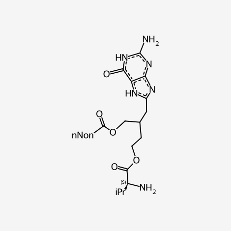 CCCCCCCCCC(=O)OCC(CCOC(=O)[C@@H](N)C(C)C)Cc1nc2nc(N)[nH]c(=O)c2[nH]1